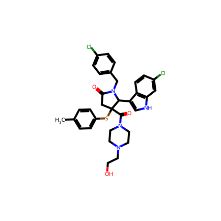 Cc1ccc(SC2(C(=O)N3CCN(CCO)CC3)CC(=O)N(Cc3ccc(Cl)cc3)C2c2c[nH]c3cc(Cl)ccc23)cc1